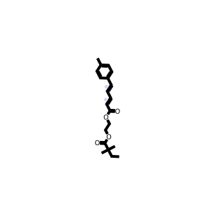 CCC(C)(C)C(=O)OCCOC(=O)/C=C/C=C/c1ccc(C)cc1